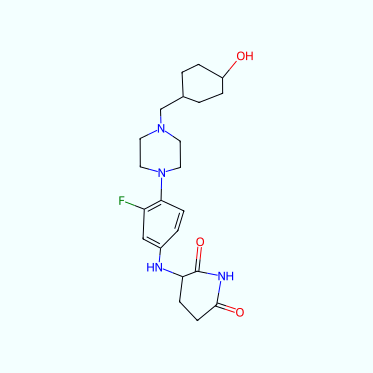 O=C1CCC(Nc2ccc(N3CCN(CC4CCC(O)CC4)CC3)c(F)c2)C(=O)N1